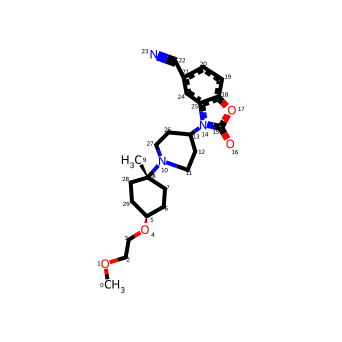 COCCO[C@H]1CC[C@@](C)(N2CCC(n3c(=O)oc4ccc(C#N)cc43)CC2)CC1